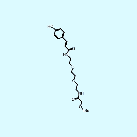 CC(C)(C)OCC(=O)NCCOCCOCCNC(=O)/C=C/c1ccc(O)cc1